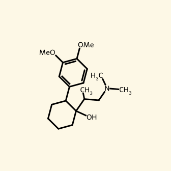 COc1ccc(C2CCCCC2(O)C(C)CN(C)C)cc1OC